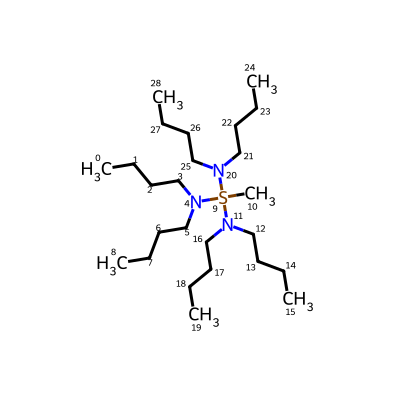 CCCCN(CCCC)S(C)(N(CCCC)CCCC)N(CCCC)CCCC